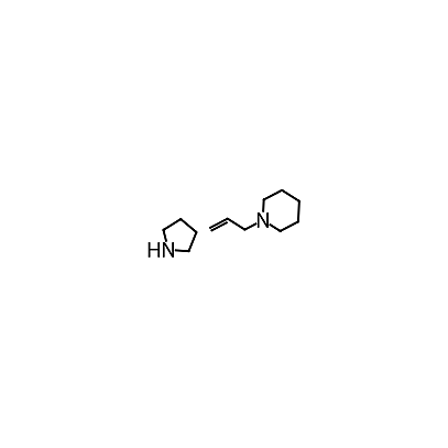 C1CCNC1.C=CCN1CCCCC1